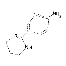 Nc1ccc(C2=NCCCN2)cc1